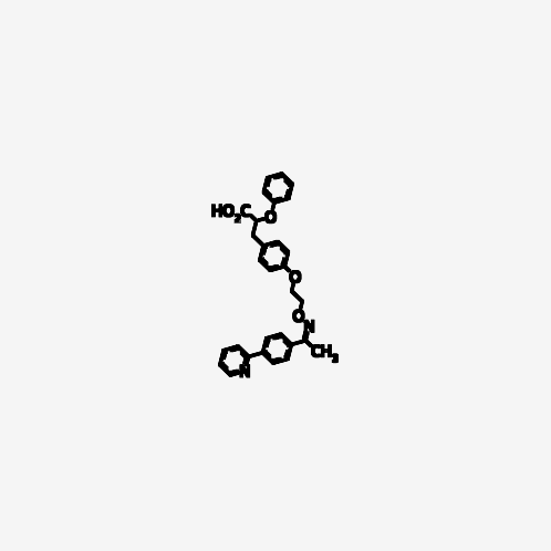 C/C(=N/OCCOc1ccc(CC(Oc2ccccc2)C(=O)O)cc1)c1ccc(-c2ccccn2)cc1